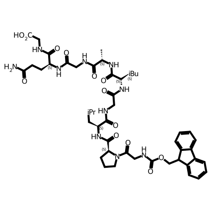 CC[C@H](C)[C@H](NC(=O)CNC(=O)[C@H](CC(C)C)NC(=O)[C@@H]1CCCN1C(=O)CNC(=O)OCC1c2ccccc2-c2ccccc21)C(=O)N[C@@H](C)C(=O)NCC(=O)N[C@@H](CCC(N)=O)C(=O)NCC(=O)O